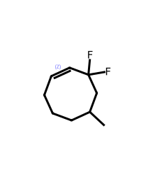 CC1CCC/C=C\C(F)(F)C1